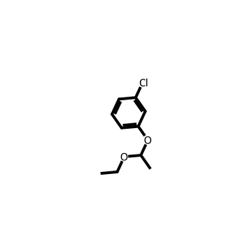 CCOC(C)Oc1cccc(Cl)c1